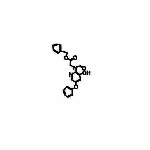 O=CN(CC(=O)OCc1ccccc1)c1ncc(Oc2ccccc2)cc1O